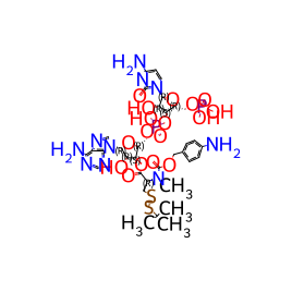 CN(C(=O)OCc1ccc(N)cc1)[C@@H](CSSC(C)(C)C)C(=O)O[C@H]1[C@@H](O)[C@H](n2cnc3c(N)ncnc32)O[C@@H]1COP(=O)(O)O[C@H]1[C@@H](O)[C@H](n2ccc(N)nc2=O)O[C@@H]1COP(=O)(O)O